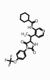 CC(c1ccncc1NC(=O)C1CCCCC1)C1NC(=O)N(c2ccc(OC(F)(F)F)cc2)C1=O